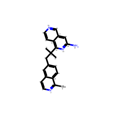 CC(C)(C)c1nccc2cc(CC(C)(C)c3nc(N)cc4cnccc34)ccc12